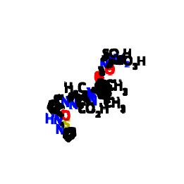 Cc1c(-c2ccc(N3CCc4cccc(C(=O)Nc5nc6ccccc6s5)c4C3)nc2C(=O)O)cnn1CC12CC3(C)CC(C)(C1)CC(OCCN(CCS(=O)(=O)O)C(=O)[C@@H](N)CS(=O)(=O)O)(C3)C2